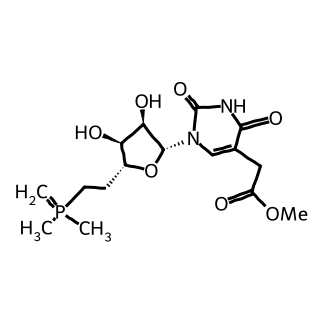 C=P(C)(C)CC[C@H]1O[C@@H](n2cc(CC(=O)OC)c(=O)[nH]c2=O)[C@H](O)[C@@H]1O